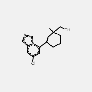 CC1(CO)CCCC(c2cc(Cl)cc3cncn23)C1